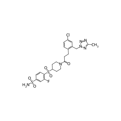 Cc1nnn(Cc2cc(Cl)ccc2CCC(=O)N2CCC(S(=O)(=O)c3ccc(S(N)(=O)=O)cc3F)CC2)n1